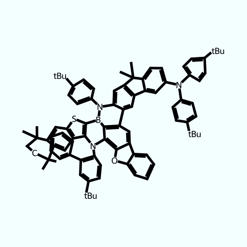 CC(C)(C)c1ccc(N2B3c4sc5cc6c(cc5c4N(c4ccc(C(C)(C)C)cc4-c4ccccc4)c4c3c(cc3c4oc4ccccc43)-c3cc4c(cc32)C(C)(C)c2ccc(N(c3ccc(C(C)(C)C)cc3)c3ccc(C(C)(C)C)cc3)cc2-4)C(C)(C)CCC6(C)C)cc1